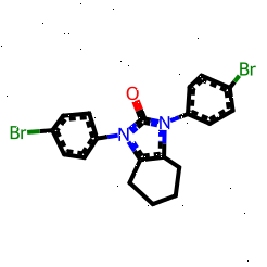 O=c1n(-c2ccc(Br)cc2)c2c(n1-c1ccc(Br)cc1)CCCC2